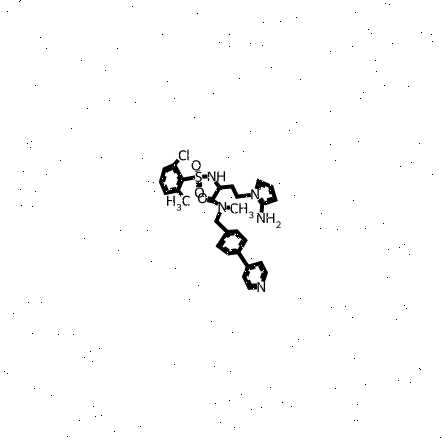 Cc1cccc(Cl)c1S(=O)(=O)NC(CCn1cccc1N)C(=O)N(C)Cc1ccc(-c2ccncc2)cc1